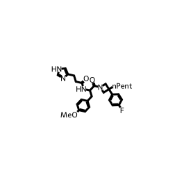 CCCCCC1(c2ccc(F)cc2)CN(C(=O)C(Cc2ccc(OC)cc2)NC(=O)CCc2c[nH]cn2)C1